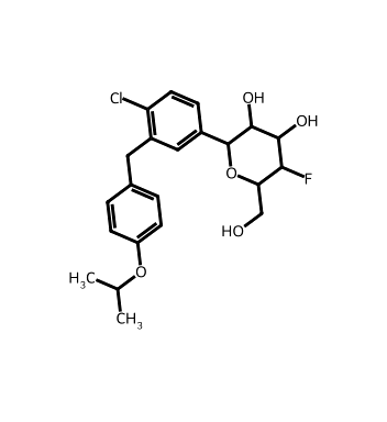 CC(C)Oc1ccc(Cc2cc(C3OC(CO)C(F)C(O)C3O)ccc2Cl)cc1